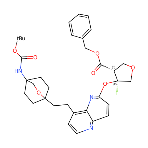 CC(C)(C)OC(=O)NC12CCC(CCc3ccnc4ccc(O[C@]5(F)COC[C@H]5C(=O)OCc5ccccc5)nc34)(CC1)OC2